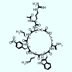 C=C(N)C1CCCNC(=O)CC[C@H](NC(=O)[C@H](CCCNC(=N)N)NC(C)=O)C(=O)N[C@@H](CCN)C(=O)N[C@H](Cc2ccc([N+](=O)[O-])cc2)C(=O)N[C@@H](CCCN)C(=O)N[C@@H](Cc2c[nH]c3ccccc23)C(=O)N1